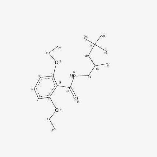 CCOc1cccc(OCC)c1C(=O)PCC(C)CC(C)(C)C